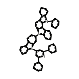 c1ccc(-c2cc(-n3c4ccccc4c4ccc(-n5c6ccccc6c6c5ccc5c7ccccc7n(-c7ccccc7)c56)cc43)cc(-c3ccccc3)n2)cc1